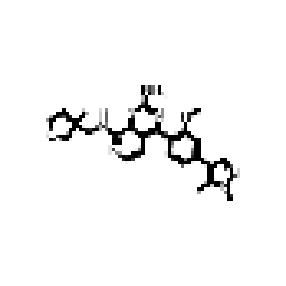 COc1cc(-c2cnn(C)c2C)ccc1-c1nc(N)nc2c(NCC3(C)CCOC3)nccc12